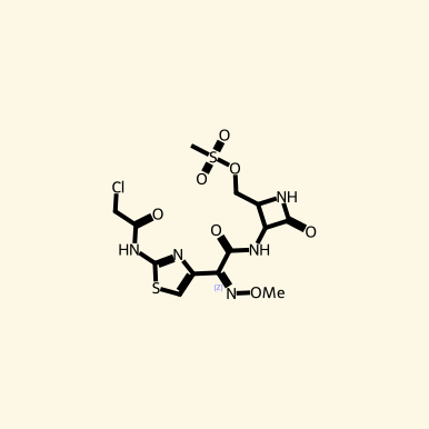 CO/N=C(\C(=O)NC1C(=O)NC1COS(C)(=O)=O)c1csc(NC(=O)CCl)n1